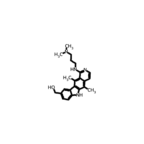 Cc1c2ccnc(NCCCN(C)C)c2c(C)c2c1[nH]c1ccc(CO)cc12